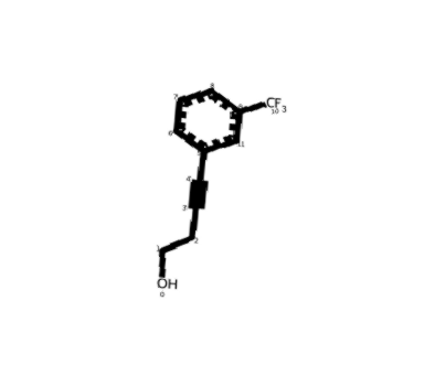 OCCC#Cc1cccc(C(F)(F)F)c1